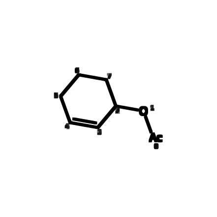 CC(=O)OC1C=CCCC1